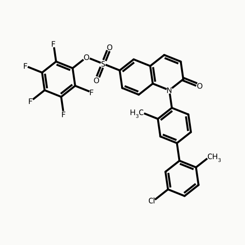 Cc1ccc(Cl)cc1-c1ccc(-n2c(=O)ccc3cc(S(=O)(=O)Oc4c(F)c(F)c(F)c(F)c4F)ccc32)c(C)c1